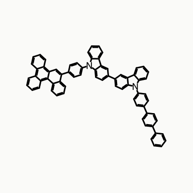 c1ccc(-c2ccc(-c3ccc(-n4c5ccccc5c5cc(-c6ccc7c(c6)c6ccccc6n7-c6ccc(-c7cc8c9ccccc9c9ccccc9c8c8ccccc78)cc6)ccc54)cc3)cc2)cc1